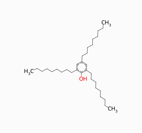 CCCCCCCCCc1cc(CCCCCCCCC)c(O)c(CCCCCCCCC)c1